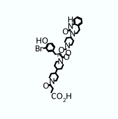 O=C(O)CCC(=O)N1CCC(C2CCN(C(=O)[C@@H](Cc3ccc(O)c(Br)c3)OC(=O)N3CCC(N4CCc5ccccc5NC4=O)CC3)CC2)CC1